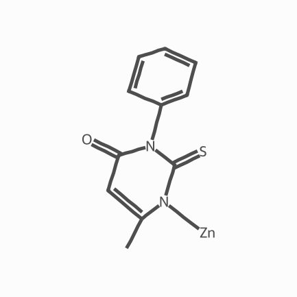 Cc1cc(=O)n(-c2ccccc2)c(=S)[n]1[Zn]